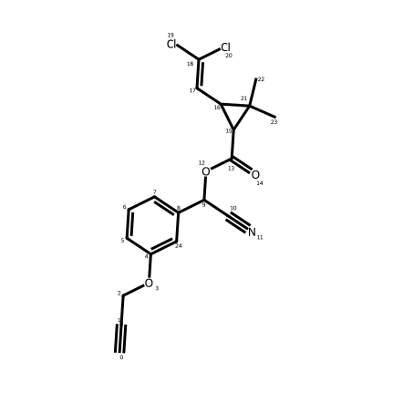 C#CCOc1cccc(C(C#N)OC(=O)C2C(C=C(Cl)Cl)C2(C)C)c1